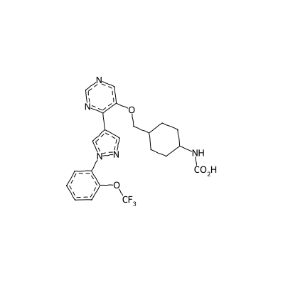 O=C(O)NC1CCC(COc2cncnc2-c2cnn(-c3ccccc3OC(F)(F)F)c2)CC1